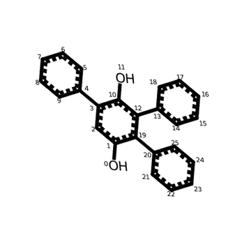 Oc1cc(-c2ccccc2)c(O)c(-c2ccccc2)c1-c1ccccc1